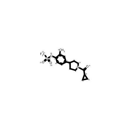 Cc1cc(C2CCN(C(=O)C3CC3)CC2)ccc1OS(=O)(=O)C(F)(F)F